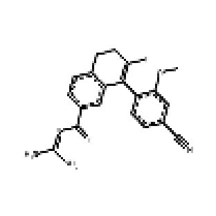 COc1cc(C#N)ccc1C1=C(F)CCc2ccc(C(=O)N=C(N)N)cc21